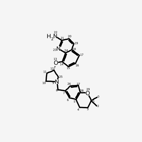 CC1(C)CCc2cc(CN3CC[C@H](Oc4cccc5ccc(N)nc45)C3)ccc2O1